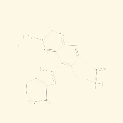 Cc1nc2ccc(F)c(-c3cc4c([nH]3)CCNC4=O)c2nc1NC(C)C.O=C(O)C(F)(F)F